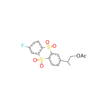 CC(=O)OCC(C)c1ccc2c(c1)S(=O)(=O)c1ccc(F)cc1S2(=O)=O